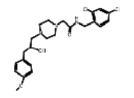 COc1ccc(CC(O)CN2CCN(CC(=O)NCc3ccc(Cl)cc3Cl)CC2)cc1